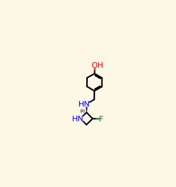 OC1=CC=C(CN[C@@H]2NCC2F)CC1